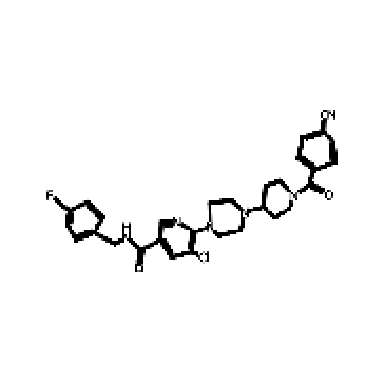 N#Cc1ccc(C(=O)N2CCC(N3CCN(c4ncc(C(=O)NCc5ccc(F)cc5)cc4Cl)CC3)CC2)cc1